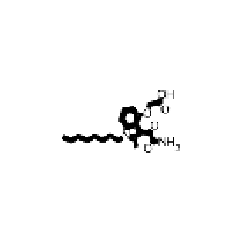 CCCCCCCCn1c(C)c(C(=O)C(N)=O)c2c(OCC(=O)O)cccc21